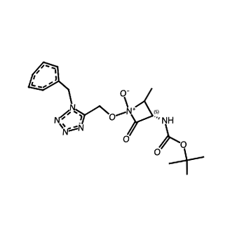 CC1[C@H](NC(=O)OC(C)(C)C)C(=O)[N+]1([O-])OCc1nnnn1Cc1ccccc1